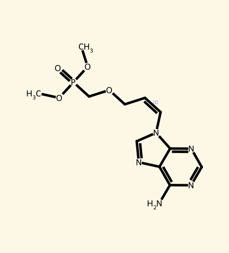 COP(=O)(COC/C=C\n1cnc2c(N)ncnc21)OC